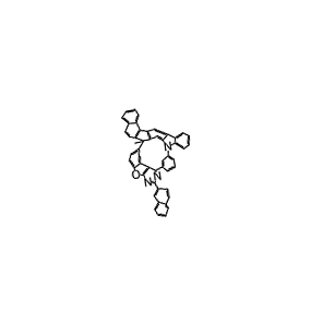 CC12c3ccc4oc5nc(-c6ccc7ccccc7c6)nc(c5c4c3)-c3cccc(c3)-n3c4ccccc4c4cc(c1cc43)-c1c2ccc2ccccc12